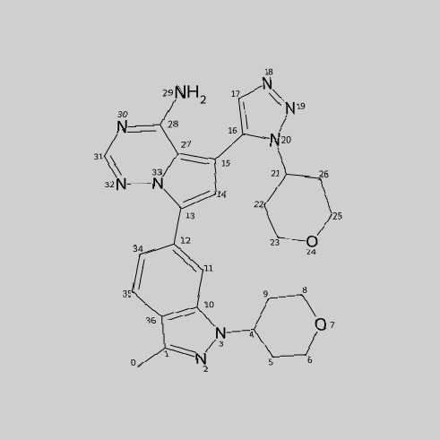 Cc1nn(C2CCOCC2)c2cc(-c3cc(-c4cnnn4C4CCOCC4)c4c(N)ncnn34)ccc12